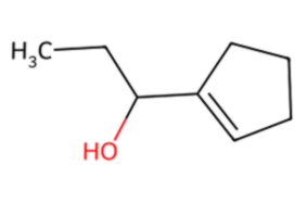 CCC(O)C1=CCCC1